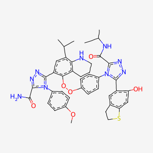 COc1ccc(-n2c(C(N)=O)nnc2-c2cc(C(C)C)c3c(c2OOc2ccc(-n4c(C(=O)NC(C)C)nnc4-c4cc5c(cc4O)SCC5)cc2)CCCN3)cc1